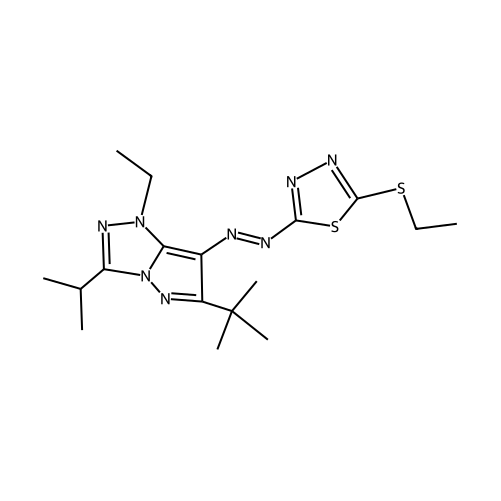 CCSc1nnc(N=Nc2c(C(C)(C)C)nn3c(C(C)C)nn(CC)c23)s1